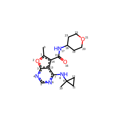 Cc1oc2ncnc(NC3(C)CC3)c2c1C(=O)NC1CCOCC1